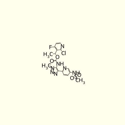 CC(OC(=O)Nc1c(-c2ccc(NS(C)(=O)=O)cn2)nnn1C)c1c(F)ccnc1Cl